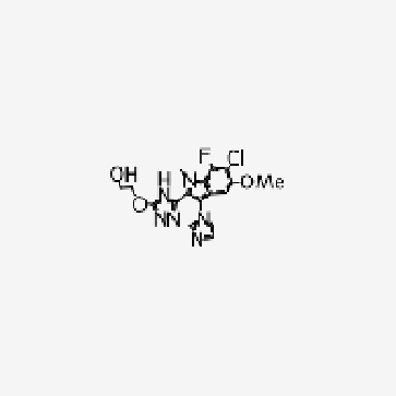 COc1cc2c(-n3ccnc3)c(-c3nnc(OCCO)[nH]3)n(C)c2c(F)c1Cl